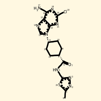 Cc1nnc(NC(=O)[C@H]2CC[C@@H](n3cnc4c(N)nc(Cl)nc43)CC2)s1